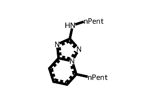 CCCCCNc1nc2cccc(CCCCC)n2n1